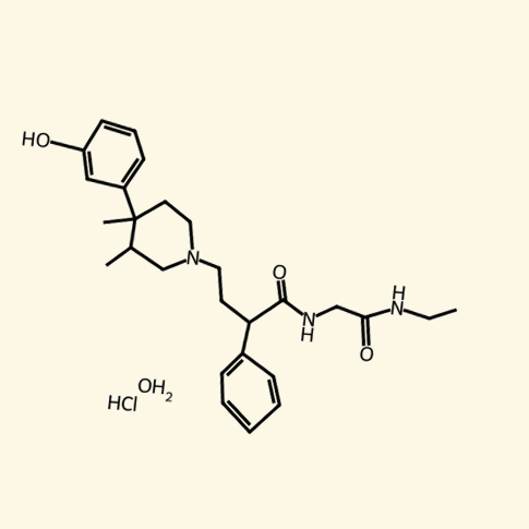 CCNC(=O)CNC(=O)C(CCN1CCC(C)(c2cccc(O)c2)C(C)C1)c1ccccc1.Cl.O